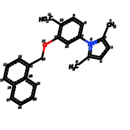 Cc1ccc(C)n1-c1ccc(C(=O)O)c(OCc2cccc3ccccc23)c1